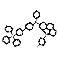 Fc1ccc(-n2c3cccc4ccc5cc(N(c6ccccc6)c6ccc(-c7ccc([Si](c8ccccc8)(c8ccccc8)c8ccccc8)cc7)cc6)cc2c5c43)cc1